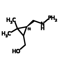 CC1(C)C(CO)[C@@H]1CNP